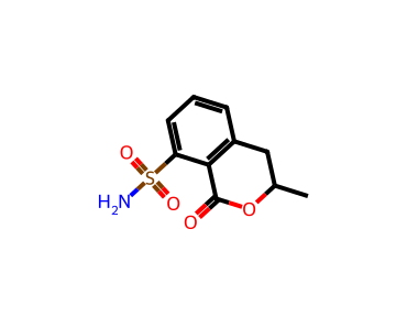 CC1Cc2cccc(S(N)(=O)=O)c2C(=O)O1